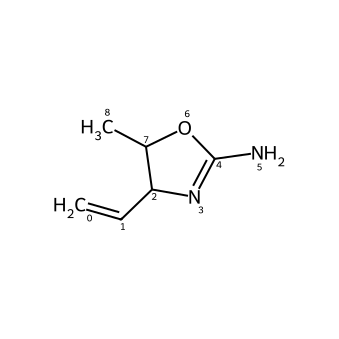 C=CC1N=C(N)OC1C